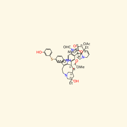 CC[C@]1(O)C[C@H]2CN(CCc3c([nH]c4ccc(Sc5cccc(O)c5)cc34)[C@@](C(=O)OC)(c3cc4c(cc3OC)N(C=O)[C@@]35O[C@]3(C(=O)OC)[C@H](OC(C)=O)[C@]3(CC)C=CCN6CC[C@]45[C@@H]63)C2)C1